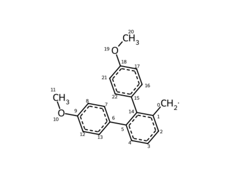 [CH2]c1cccc(-c2ccc(OC)cc2)c1-c1ccc(OC)cc1